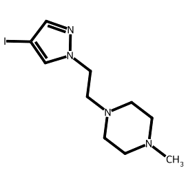 CN1CCN(CCn2cc(I)cn2)CC1